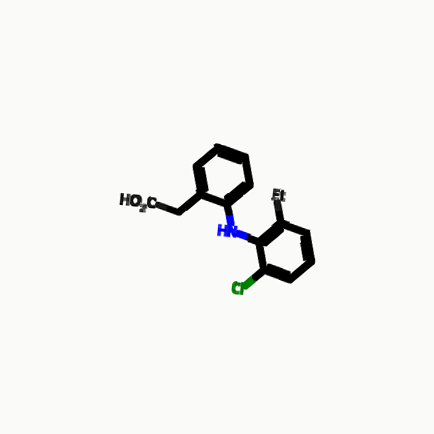 CCc1cccc(Cl)c1Nc1ccccc1CC(=O)O